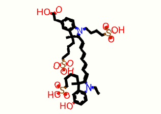 CCN1/C(=C/C=C/C=C/C=C/C2=[N+](CCCCS(=O)(=O)O)c3ccc(CC(=O)O)cc3C2(C)CCCCS(=O)(=O)O)C(C)(CCCCS(=O)(=O)O)c2cc(O)ccc21